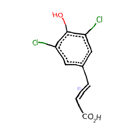 O=C(O)/C=C/c1cc(Cl)c(O)c(Cl)c1